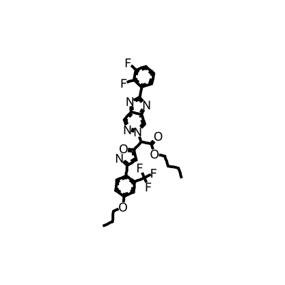 CCCCOC(=O)C(c1cc(-c2ccc(OCCC)cc2C(F)(F)F)no1)n1cc2nc(-c3cccc(F)c3F)nc-2cn1